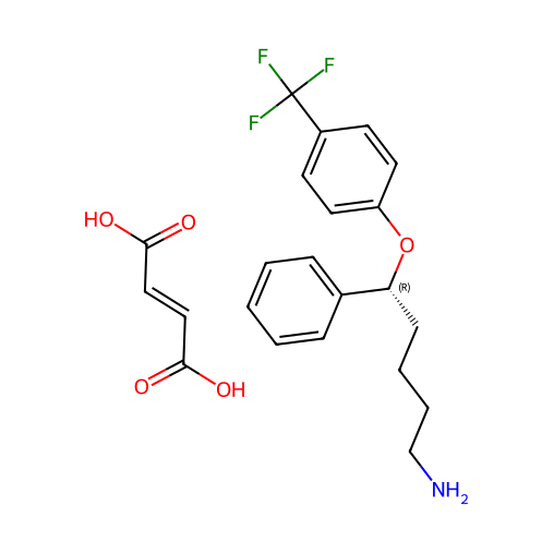 NCCCC[C@@H](Oc1ccc(C(F)(F)F)cc1)c1ccccc1.O=C(O)C=CC(=O)O